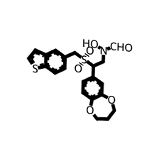 O=CN(O)CC(c1ccc2c(c1)OCCCO2)S(=O)(=O)Cc1ccc2sccc2c1